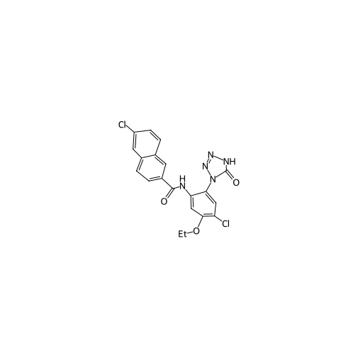 CCOc1cc(NC(=O)c2ccc3cc(Cl)ccc3c2)c(-n2nn[nH]c2=O)cc1Cl